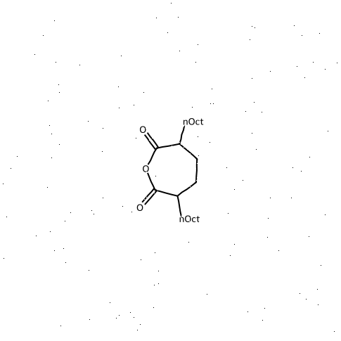 CCCCCCCCC1CCC(CCCCCCCC)C(=O)OC1=O